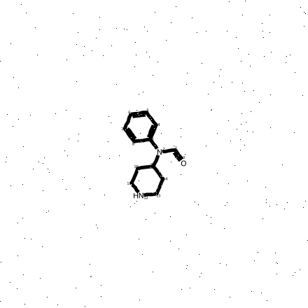 O=[C]N(c1ccccc1)C1CCNCC1